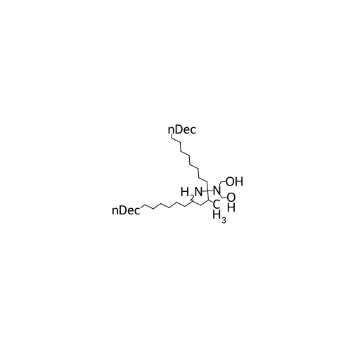 CCCCCCCCCCCCCCCCCCC(C)C(N)(CCCCCCCCCCCCCCCCCC)N(CO)CO